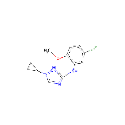 COc1ccc(F)cc1Nc1ncn(C2CC2)n1